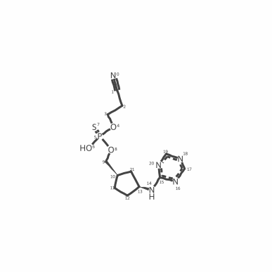 N#CCCOP(O)(=S)OC[C@@H]1CC[C@H](Nc2ncncn2)C1